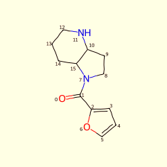 O=C(c1ccco1)N1CCC2NCCCC21